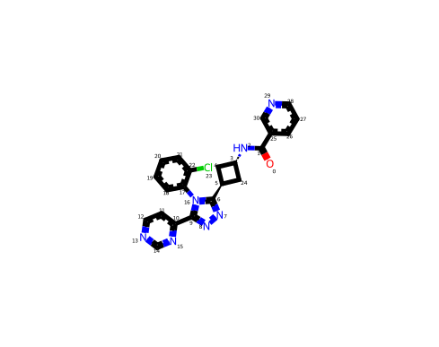 O=C(N[C@H]1C[C@H](c2nnc(-c3ccncn3)n2-c2ccccc2Cl)C1)c1cccnc1